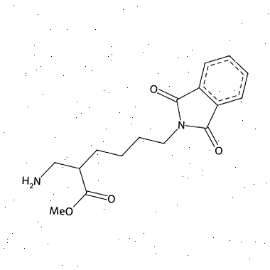 COC(=O)C(CN)CCCCN1C(=O)c2ccccc2C1=O